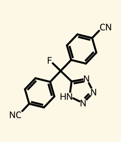 N#Cc1ccc(C(F)(c2ccc(C#N)cc2)c2nnn[nH]2)cc1